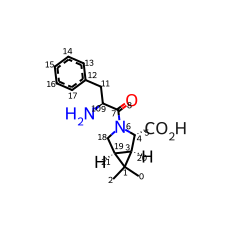 CC1(C)[C@@H]2[C@@H](C(=O)O)N(C(=O)[C@@H](N)Cc3ccccc3)C[C@@H]21